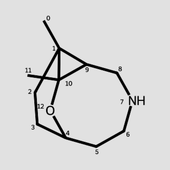 CC12CCC3CCNCC1C2(C)O3